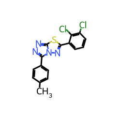 Cc1ccc(-c2nnc3sc(-c4cccc(Cl)c4Cl)nn23)cc1